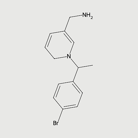 CC(c1ccc(Br)cc1)N1C=C(CN)C=CC1